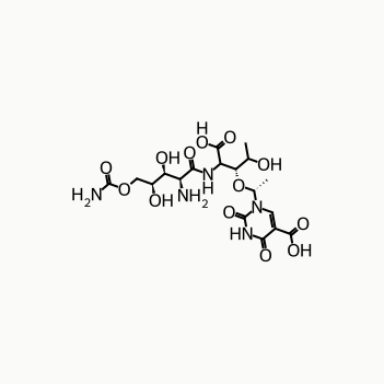 CC(O)[C@H](O[C@H](C)n1cc(C(=O)O)c(=O)[nH]c1=O)C(NC(=O)[C@@H](N)[C@H](O)[C@@H](O)COC(N)=O)C(=O)O